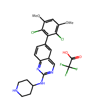 COc1cc(OC)c(Cl)c(-c2ccc3nc(NC4CCNCC4)ncc3c2)c1Cl.O=C(O)C(F)(F)F